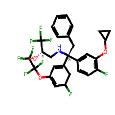 O[C@@H](CN[C@@](Cc1ccccc1)(C1=CC(OC(F)(F)C(F)F)=CC(F)C1)c1ccc(F)c(OC2CC2)c1)C(F)(F)F